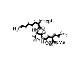 C=CCCCCC(CCCCCCC)C(=O)N[C@@H](CC(C)C)C(=O)N[C@@H](CC(CC=C)C(=O)NC)C(=O)O